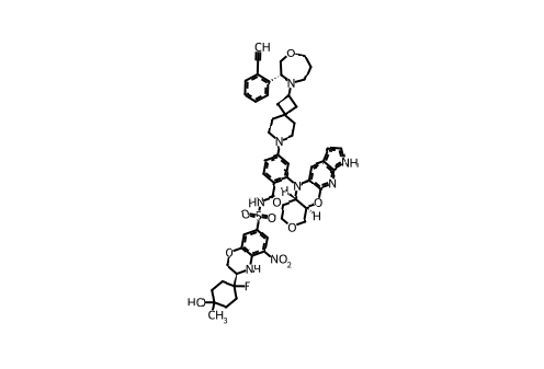 C#Cc1ccccc1[C@@H]1COCCCN1C1CC2(CCN(c3ccc(C(=O)NS(=O)(=O)c4cc5c(c([N+](=O)[O-])c4)N[C@@H](C4(F)CCC(C)(O)CC4)CO5)c(N4c5cc6cc[nH]c6nc5O[C@H]5COCC[C@@H]54)c3)CC2)C1